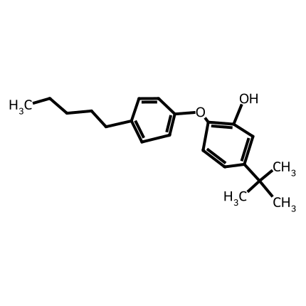 CCCCCc1ccc(Oc2ccc(C(C)(C)C)cc2O)cc1